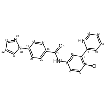 O=C(Nc1ccc(Cl)c(-c2ccccn2)c1)c1ccc(-n2cccn2)cc1